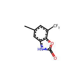 Cc1cc(C(F)(F)F)c2oc(=O)[nH]c2c1